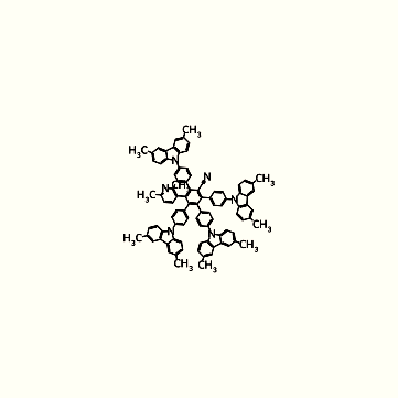 Cc1ccc2c(c1)c1cc(C)ccc1n2-c1ccc(-c2c(C#N)c(-c3ccc(-n4c5ccc(C)cc5c5cc(C)ccc54)cc3)c(-c3ccc(C)nc3C)c(-c3ccc(-n4c5ccc(C)cc5c5cc(C)ccc54)cc3)c2-c2ccc(-n3c4ccc(C)cc4c4cc(C)ccc43)cc2)cc1